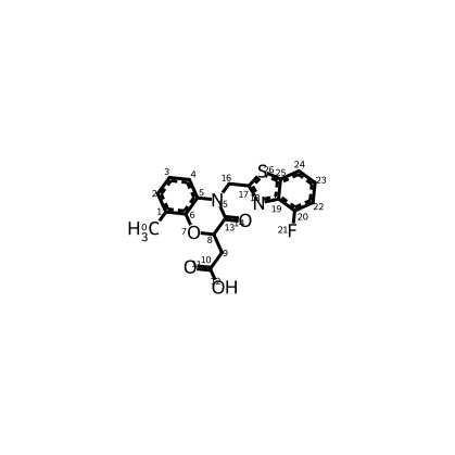 Cc1cccc2c1OC(CC(=O)O)C(=O)N2Cc1nc2c(F)cccc2s1